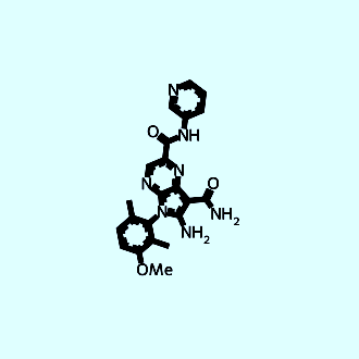 COc1ccc(C)c(-n2c(N)c(C(N)=O)c3nc(C(=O)Nc4cccnc4)cnc32)c1C